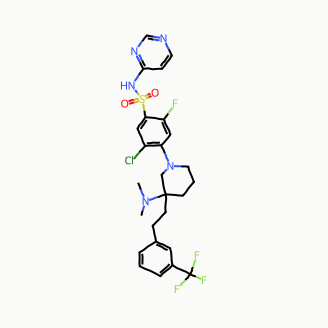 CN(C)C1(CCc2cccc(C(F)(F)F)c2)CCCN(c2cc(F)c(S(=O)(=O)Nc3ccncn3)cc2Cl)C1